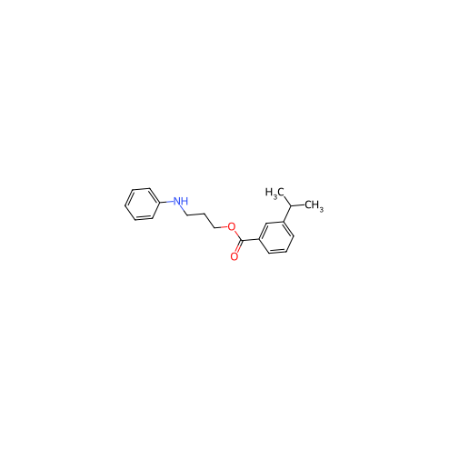 CC(C)c1cccc(C(=O)OCCCNc2ccccc2)c1